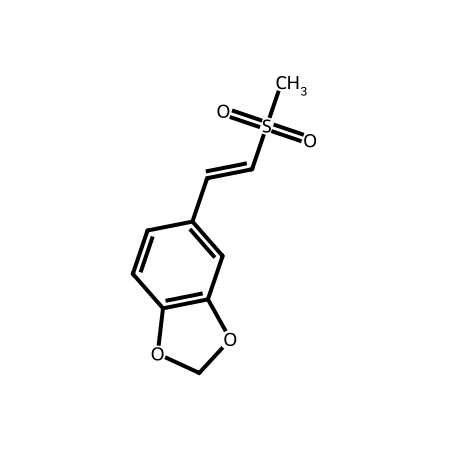 CS(=O)(=O)C=Cc1ccc2c(c1)OCO2